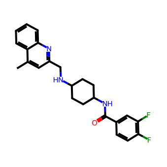 Cc1cc(CNC2CCC(NC(=O)c3ccc(F)c(F)c3)CC2)nc2ccccc12